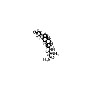 C[C@]12CC[C@H](NC(=O)[C@@H](N)CC(N)=O)C[C@H]1CC[C@H]1C3=CC[C@H](c4ccc(=O)oc4)[C@@]3(C)CC[C@@H]12